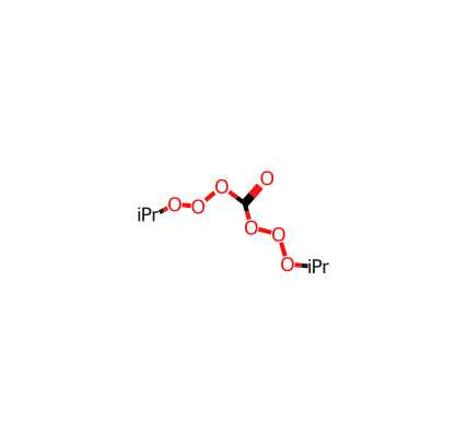 CC(C)OOOC(=O)OOOC(C)C